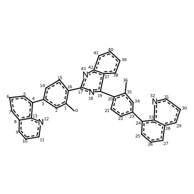 Cc1cc(-c2cccc3cccnc23)ccc1-c1nc(-c2ccc(-c3cccc4cccnc34)cc2C)c2ccccc2n1